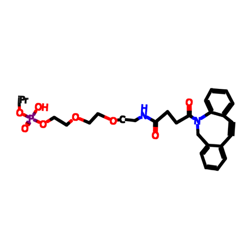 CC(C)OP(=O)(O)OCCOCCOCCNC(=O)CCC(=O)N1Cc2ccccc2C#Cc2ccccc21